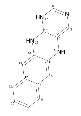 C1=NC=C2Nc3cc4ccccc4cc3NC2N1